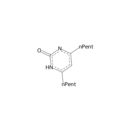 CCCCCc1cc(CCCCC)[nH]c(=O)n1